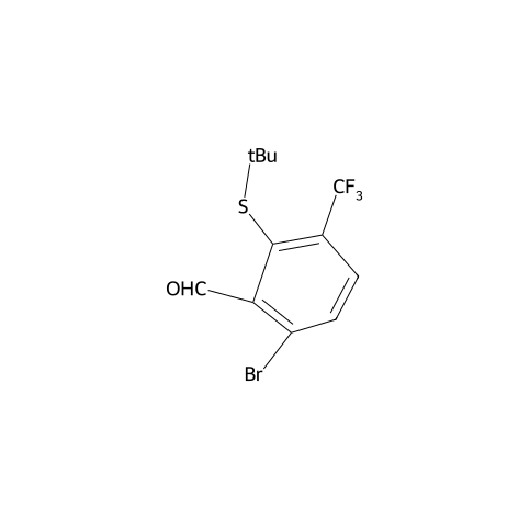 CC(C)(C)Sc1c(C(F)(F)F)ccc(Br)c1C=O